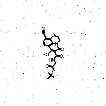 CC(C)(C)OC(=O)CNC(=O)c1c(O)c2ccc(C#N)c3c2n(c1=O)CCO3